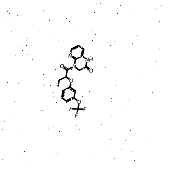 CCC(Oc1cccc(OC(F)(F)F)c1)C(=O)N1CC(=O)Nc2cccnc21